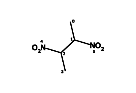 CC(C(C)[N+](=O)[O-])[N+](=O)[O-]